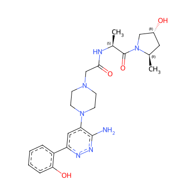 C[C@H](NC(=O)CN1CCN(c2cc(-c3ccccc3O)nnc2N)CC1)C(=O)N1C[C@H](O)C[C@H]1C